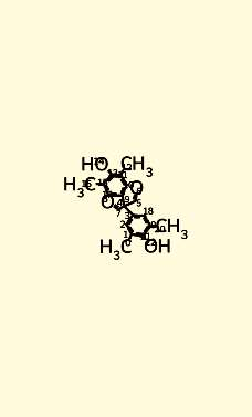 Cc1cc(C(C=O)(C=O)c2cc(C)c(O)c(C)c2)cc(C)c1O